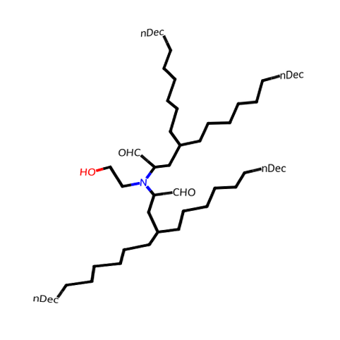 CCCCCCCCCCCCCCCCC(CCCCCCCCCCCCCCCC)CC(C=O)N(CCO)C(C=O)CC(CCCCCCCCCCCCCCCC)CCCCCCCCCCCCCCCC